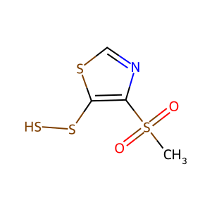 CS(=O)(=O)c1ncsc1SS